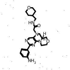 Nc1cccc(-c2ncc3c(n2)N2CCOC[C@H]2CN3CC(=O)NCC2CCOCC2)c1